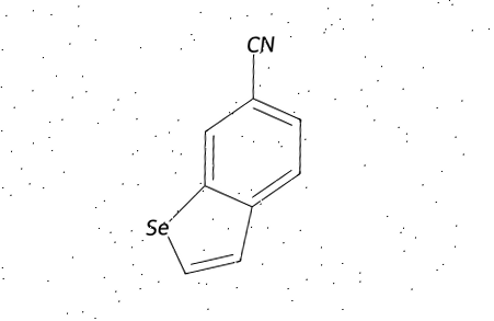 N#Cc1ccc2cc[se]c2c1